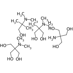 CN(C)C(C)(C)CO.CN(C)C(C)(CO)CO.CN(C)C(CO)(CO)CO.NC(CO)(CO)CO